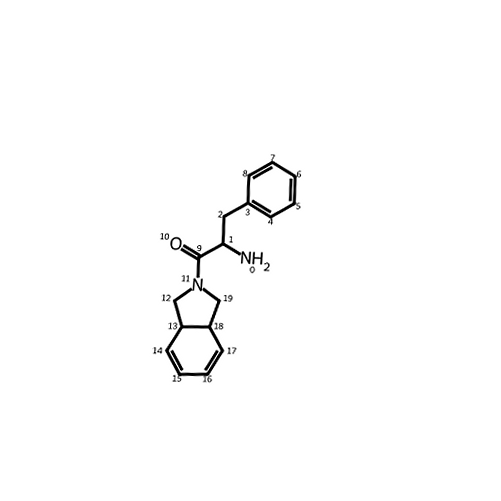 NC(Cc1ccccc1)C(=O)N1CC2C=CC=CC2C1